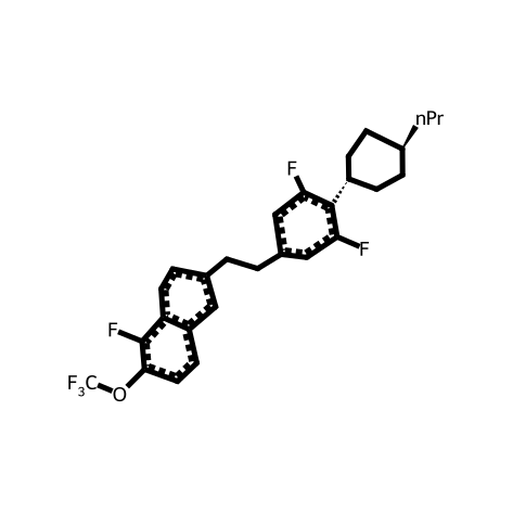 CCC[C@H]1CC[C@H](c2c(F)cc(CCc3ccc4c(F)c(OC(F)(F)F)ccc4c3)cc2F)CC1